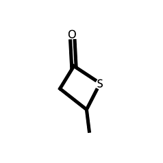 CC1CC(=O)S1